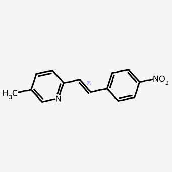 Cc1ccc(/C=C/c2ccc([N+](=O)[O-])cc2)nc1